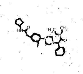 CCN(CC)C(=O)C(C1=CCCC=C1)N1CCN(c2ccc(CC(=O)NC3CCCC3)cc2F)CC1